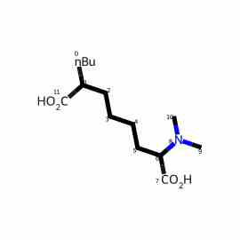 CCCCC(CCCCC(C(=O)O)N(C)C)C(=O)O